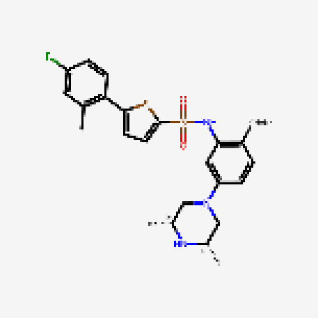 COc1ccc(N2C[C@@H](C)N[C@@H](C)C2)cc1NS(=O)(=O)c1ccc(-c2ccc(F)cc2C)s1